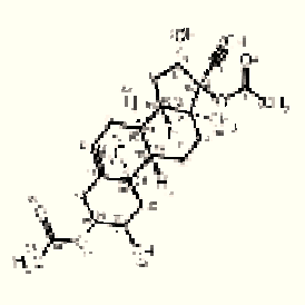 C#C[C@]1(OC(C)=O)[C@@H](O)C[C@H]2[C@@H]3CC=C4C[C@@H](OC(C)=O)[C@H](O)C[C@]4(C)[C@H]3CC[C@@]21C